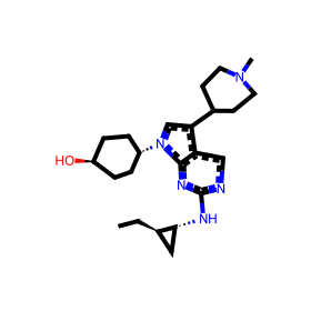 CC[C@@H]1C[C@H]1Nc1ncc2c(C3CCN(C)CC3)cn([C@H]3CC[C@H](O)CC3)c2n1